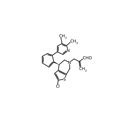 C=C(C=O)CN1Cc2sc(Cl)cc2[C@@H](c2ccccc2-c2cnc(C)c(C)c2)C1